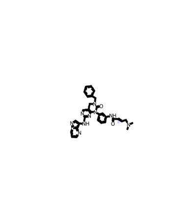 CN(C)C/C=C/C(=O)Nc1cccc(N2C(=O)N(Cc3ccccc3)Cc3cnc(Nc4cnn5cccnc45)nc32)c1